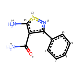 NC(=O)c1c(-c2ccccc2)nsc1N